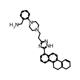 NCc1ccccc1N1CCN(CCc2n[nH]c(-c3cccc4c5c(ccc34)C3=C(CCC=C3)CC5)n2)CC1